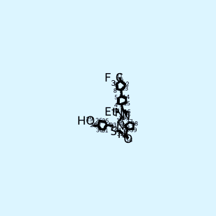 CCn1c(-c2ccc(-c3ccc(C(F)(F)F)cc3)cc2)cnc1Cn1c(SCc2ccc(CO)cc2)nc(=O)c2c1CCC2